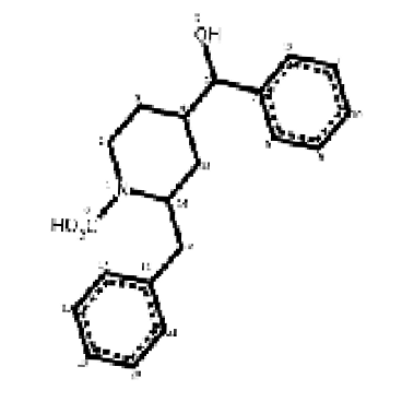 O=C(O)N1CCC(C(O)c2ccccc2)CC1Cc1ccccc1